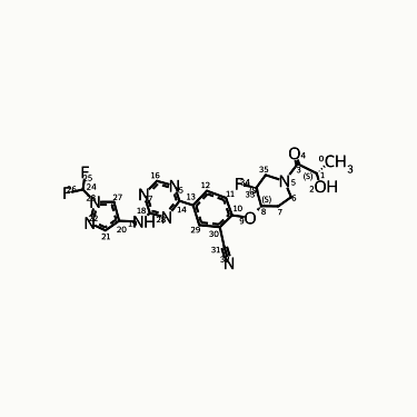 C[C@H](O)C(=O)N1CC[C@H](Oc2ccc(-c3ncnc(Nc4cnn(C(F)F)c4)n3)cc2C#N)[C@@H](F)C1